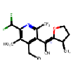 CC(C)Cc1c(C(=O)O)c(C(F)F)nc(C(F)(F)F)c1/C(C#N)=C1\OCCC1C